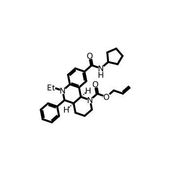 C=CCOC(=O)N1CCC[C@H]2C(c3ccccc3)N(CC)c3ccc(C(=O)NC4CCCC4)cc3[C@H]21